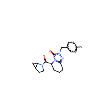 Cc1ccc(Cn2nc3n(c2=O)[C@H](C(=O)N2CCC4CC42)CCC3)cc1